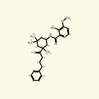 COc1ccnc(C(=O)NC2CC(C)(C)CC(C)(C(=O)CCCc3ccccc3)C2)c1O